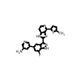 Cc1ccc(-c2nccc3[nH]c(-c4n[nH]c5c(F)cc(-c6cncc(N)c6)cc45)nc23)s1